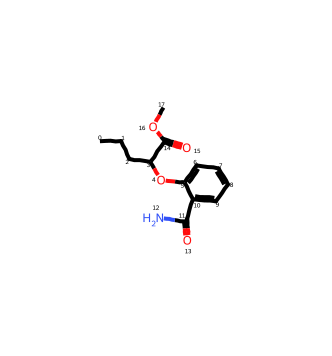 CCCC(Oc1ccccc1C(N)=O)C(=O)OC